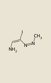 C/N=N\C(I)=C/N